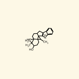 CC1C23c4[nH]c5ccccc5c4CC2CCC2(O)C(C)(C)C(O)CCC132